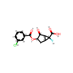 O=C(OC1CC2C(C1=O)C2(F)C(=O)O)c1cccc(Cl)c1